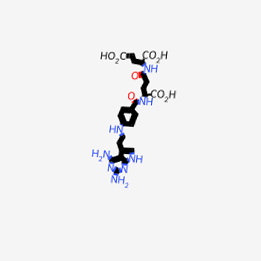 Nc1nc(N)c2c(CCNc3ccc(C(=O)N[C@@H](CCC(=O)N[C@@H](CCC(=O)O)C(=O)O)C(=O)O)cc3)c[nH]c2n1